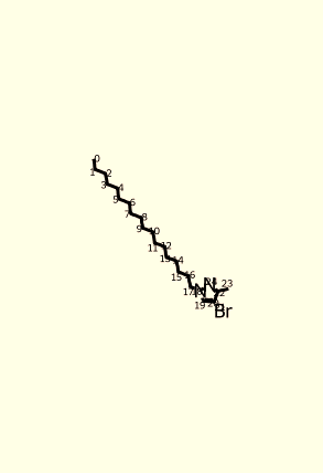 CCCCCCCCCCCCCCCCCCn1cc(Br)c(C)n1